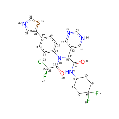 O=C(NC1CCC(F)(F)CC1)[C@@H](c1cncnc1)N(C(=O)[C@@H](F)Cl)c1ccc(-c2cncs2)cc1